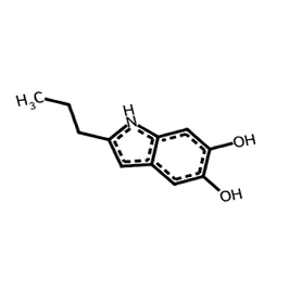 CCCc1cc2cc(O)c(O)cc2[nH]1